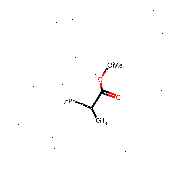 CCCC(C)C(=O)OOC